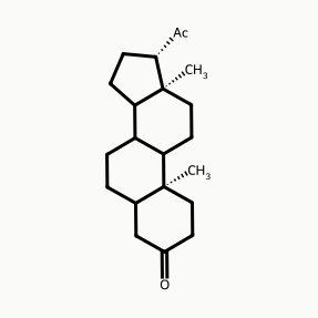 CC(=O)[C@H]1CCC2C3CCC4CC(=O)CC[C@]4(C)C3CC[C@@]21C